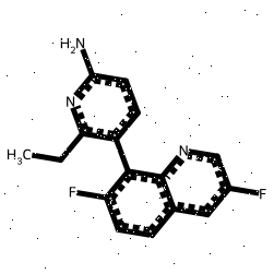 CCc1nc(N)ccc1-c1c(F)ccc2cc(F)cnc12